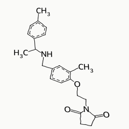 Cc1ccc(C(C)NCc2ccc(OCCN3C(=O)CCC3=O)c(C)c2)cc1